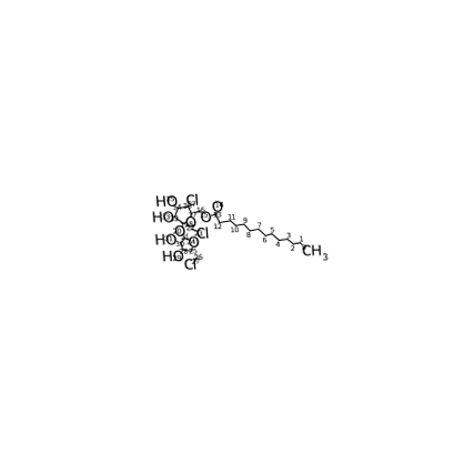 CCCCCCCCCCCCCC(=O)OC[C@H]1O[C@H](O[C@@]2(CCl)O[C@H](CCl)[C@@H](O)[C@@H]2O)[C@H](O)[C@@H](O)[C@H]1Cl